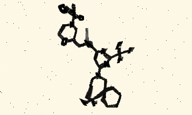 CN(CC1CN(S(C)(=O)=O)CCO1)c1cc(N2CCC(F)(F)C3(CCCCC3)C2)nc(C(F)(F)F)n1